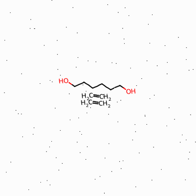 C=C.C=C.OCCCCCCO